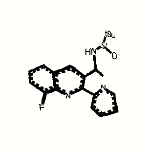 CC(N[S+]([O-])C(C)(C)C)c1cc2cccc(F)c2nc1-c1ccccn1